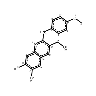 COc1ccc(Nc2nc3cc(F)c(Br)cc3cc2CO)cc1